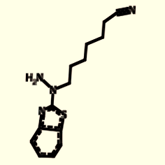 N#CCCCCCCN(N)c1nc2ccccc2s1